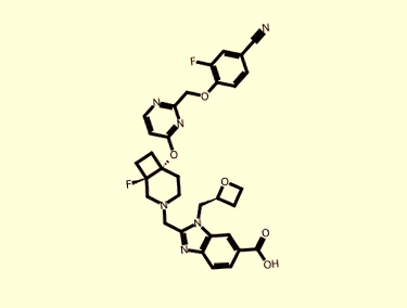 N#Cc1ccc(OCc2nccc(O[C@]34CCN(Cc5nc6ccc(C(=O)O)cc6n5C[C@@H]5CCO5)C[C@]3(F)CC4)n2)c(F)c1